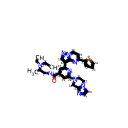 CCN(CC)C(C)CNC(=O)c1cc(-c2cnn3ccc(-c4cccs4)nc23)nc(N2CCn3ccnc3C2)c1